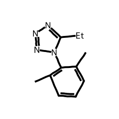 CCc1nnnn1-c1c(C)cccc1C